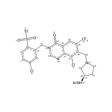 CCS(=O)(=O)c1ccc(Cl)cc1Cn1cnc2c(Cl)c(CN3CC[C@@H](NC(C)=O)C3)c(C(F)(F)F)cc2c1=O